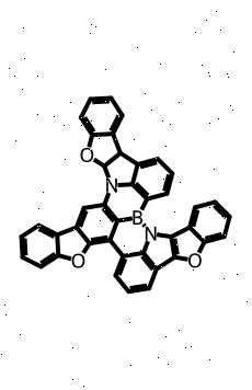 c1ccc2c(c1)OC1C2c2cccc3c2N1c1cc2c(oc4ccccc42)c2c1B3n1c3c-2cccc3c2oc3ccccc3c21